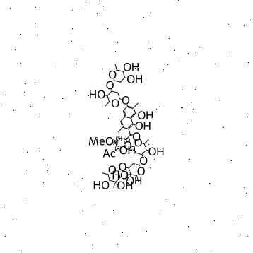 CO[C@@H]([C@@H]1Cc2cc3cc(OC4CC(OC5CC(O)C(O)C(C)O5)C(O)C(C)O4)c(C)c(O)c3c(O)c2C(=O)[C@H]1OC1CC(OC2CC(OC3CC(C)(O)C(O)C(C)O3)C(O)(O)C(C)O2)C(O)C(C)O1)[C@@H](O)C(C)=O